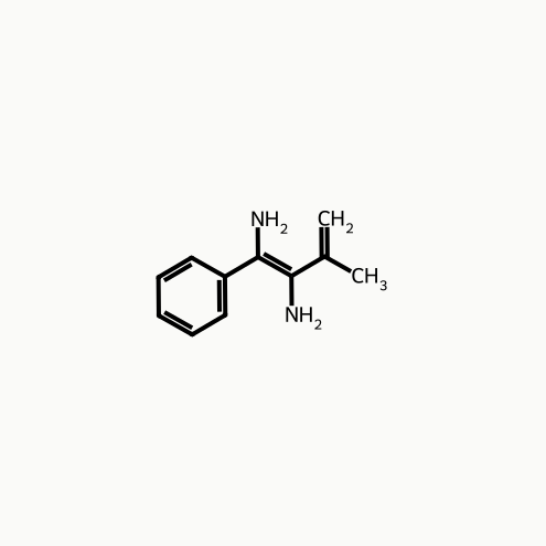 C=C(C)C(N)=C(N)c1ccccc1